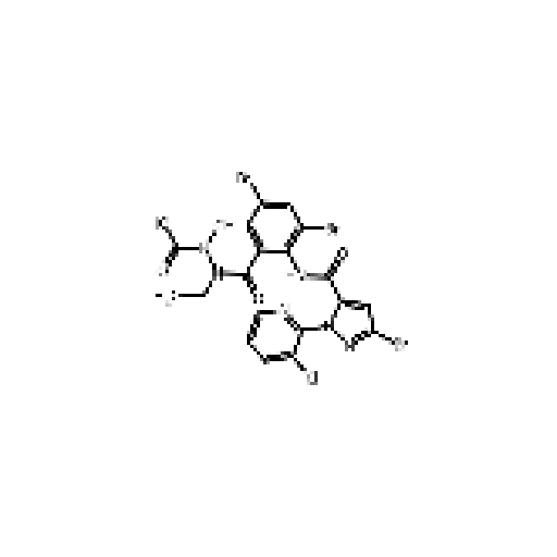 CCN(C(=O)c1cc(Br)cc(Br)c1NC(=O)c1cc(Br)nn1-c1ncccc1Cl)N(C)C(=O)O